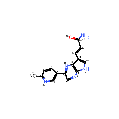 N#Cc1ccc(-c2cnc3[nH]cc(C=CC(N)=O)c3n2)cn1